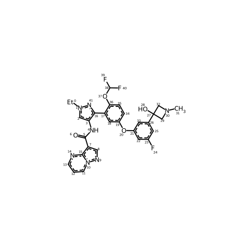 CCn1cc(NC(=O)c2cnn3cccnc23)c(-c2cc(Oc3cc(F)cc(C4(O)CN(C)C4)c3)ccc2OC(F)F)n1